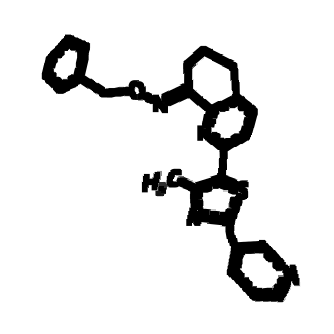 Cc1nc(-c2cccnc2)sc1-c1ccc2c(n1)/C(=N/OCc1ccccc1)CCC2